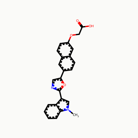 Cn1cc(-c2ncc(-c3ccc4cc(OCC(=O)O)ccc4c3)o2)c2ccccc21